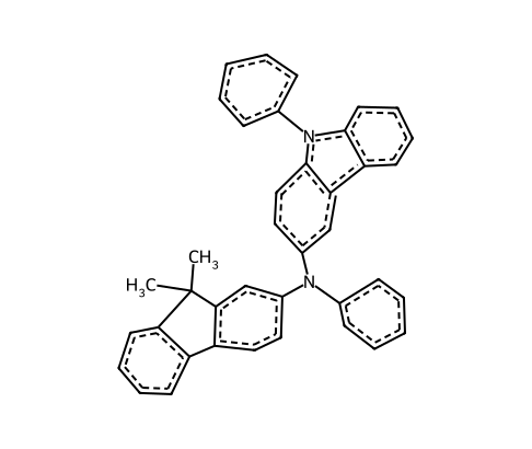 CC1(C)c2ccccc2-c2ccc(N(c3ccccc3)c3ccc4c(c3)c3ccccc3n4-c3ccccc3)cc21